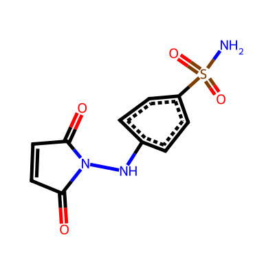 NS(=O)(=O)c1ccc(NN2C(=O)C=CC2=O)cc1